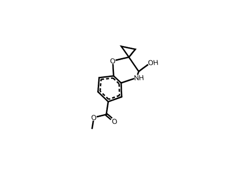 COC(=O)c1ccc2c(c1)NC(O)C1(CC1)O2